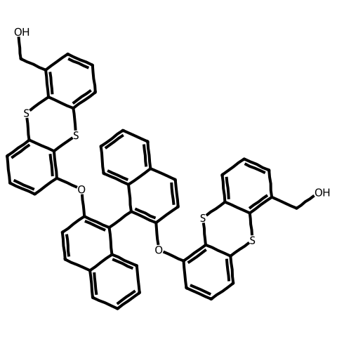 OCc1cccc2c1Sc1cccc(Oc3ccc4ccccc4c3-c3c(Oc4cccc5c4Sc4cccc(CO)c4S5)ccc4ccccc34)c1S2